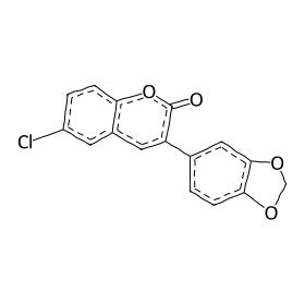 O=c1oc2ccc(Cl)cc2cc1-c1ccc2c(c1)OCO2